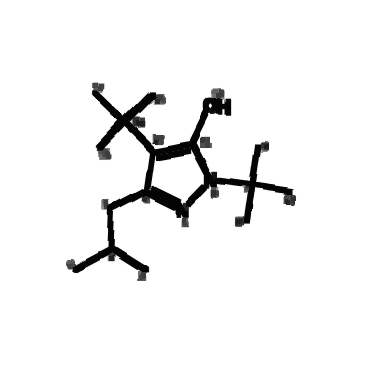 CC(C)Cc1nn(C(C)(C)C)c(O)c1C(C)(C)C